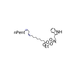 CCCCC/C=C\C/C=C\CCCCCCCC(=O)OC(CC)OC(=O)N(C)CCc1c[nH]c2ccccc12